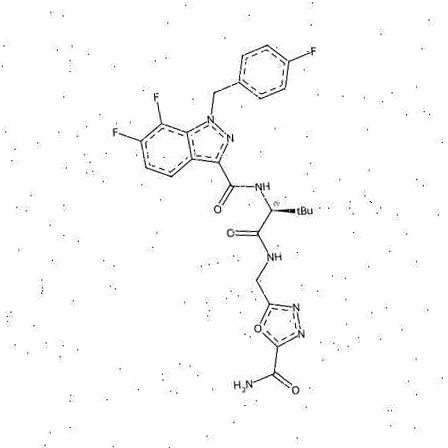 CC(C)(C)[C@H](NC(=O)c1nn(Cc2ccc(F)cc2)c2c(F)c(F)ccc12)C(=O)NCc1nnc(C(N)=O)o1